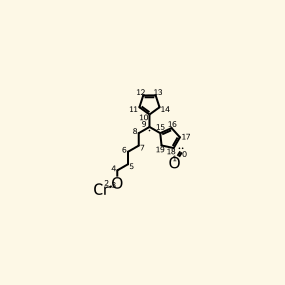 [C]=O.[Cr][O]CCCCC[C](C1=CC=CC1)C1=CC=CC1